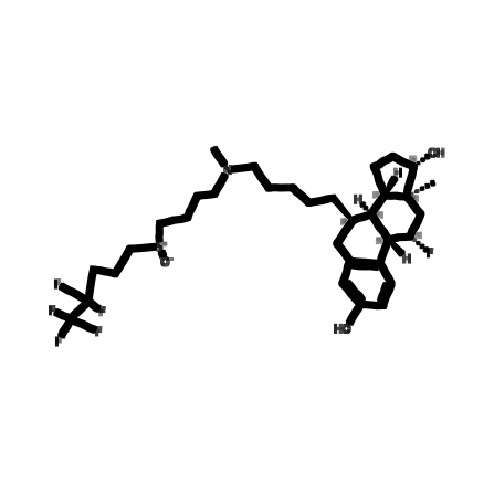 CN(CCCCC[C@@H]1Cc2cc(O)ccc2[C@@H]2[C@@H]1[C@@H]1CC[C@H](O)[C@@]1(C)C[C@@H]2F)CCCC[S+]([O-])CCCC(F)(F)C(F)(F)F